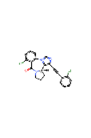 O=C1c2c(Cl)cccc2-n2cnc(C#Cc3ccccc3Cl)c2[C@@H]2CCCN12